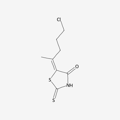 CC(CCCCl)=C1SC(=S)NC1=O